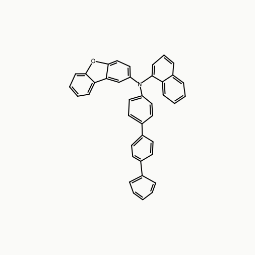 c1ccc(-c2ccc(-c3ccc(N(c4ccc5oc6ccccc6c5c4)c4cccc5ccccc45)cc3)cc2)cc1